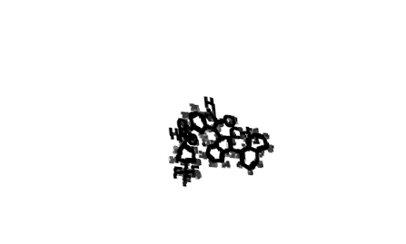 CC1=C(c2cccc3ccccc23)c2ccccc2C1C1C(=O)Nc2ccc(S(=O)(=O)Nc3ccc(C(F)(F)F)cc3)cc21